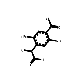 CCCc1cc(C(=O)Cl)c([N+](=O)[O-])cc1C(Cl)C(=O)Cl